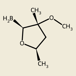 B[C@@H]1O[C@H](C)C[C@@]1(C)OC